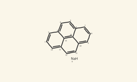 [NaH].c1cc2ccc3cccc4ccc(c1)c2c34